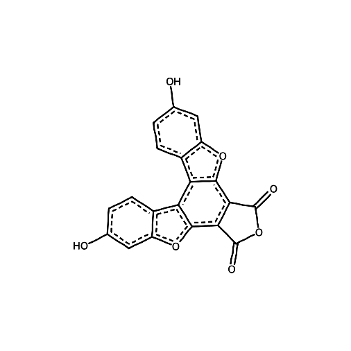 O=C1OC(=O)c2c1c1oc3cc(O)ccc3c1c1c2oc2cc(O)ccc21